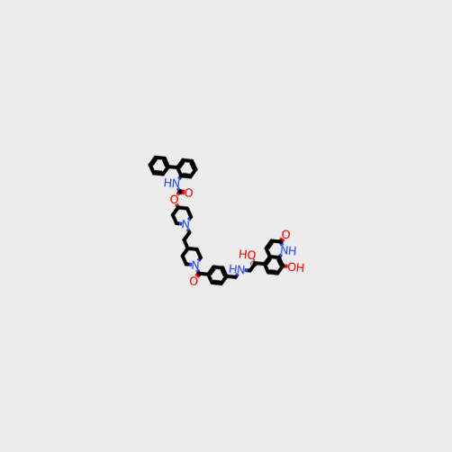 O=C(Nc1ccccc1-c1ccccc1)OC1CCN(CCC2CCN(C(=O)c3ccc(CNC[C@H](O)c4ccc(O)c5[nH]c(=O)ccc45)cc3)CC2)CC1